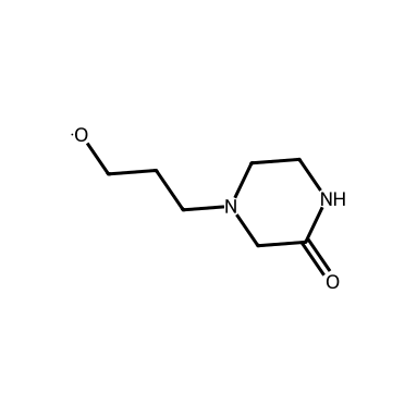 [O]CCCN1CCNC(=O)C1